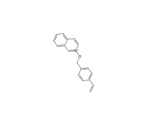 C=Cc1ccc(CO[n+]2ccc3ccccc3c2)cc1